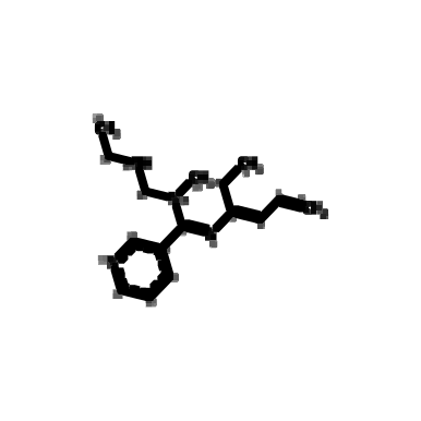 C=C/C=C(CC)/N=C(/c1cccnc1)N(C)CNCC